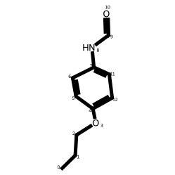 CCCOc1ccc(N[C]=O)cc1